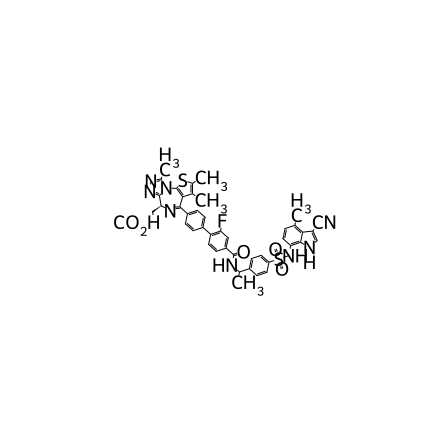 Cc1sc2c(c1C)C(c1ccc(-c3ccc(C(=O)NC(C)c4ccc(S(=O)(=O)Nc5ccc(C)c6c(C#N)c[nH]c56)cc4)cc3F)cc1)=N[C@@H](CC(=O)O)c1nnc(C)n1-2